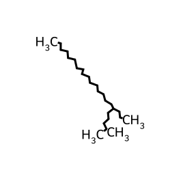 CCCCCCCCCCCCCCCCC(CCC)CCCC(C)C